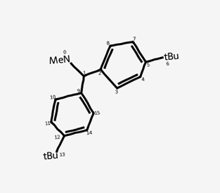 CNC(c1ccc(C(C)(C)C)cc1)c1ccc(C(C)(C)C)cc1